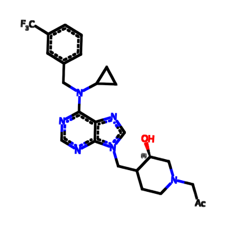 CC(=O)CN1CCC(Cn2cnc3c(N(Cc4cccc(C(F)(F)F)c4)C4CC4)ncnc32)[C@@H](O)C1